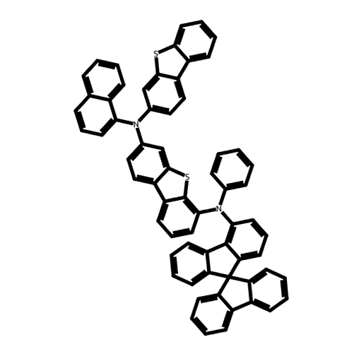 c1ccc(N(c2cccc3c2-c2ccccc2C32c3ccccc3-c3ccccc32)c2cccc3c2sc2cc(N(c4ccc5c(c4)sc4ccccc45)c4cccc5ccccc45)ccc23)cc1